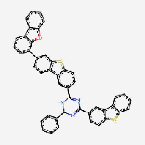 c1ccc(C2N=C(c3ccc4sc5ccccc5c4c3)N=C(c3ccc4sc5cc(-c6cccc7c6oc6ccccc67)ccc5c4c3)N2)cc1